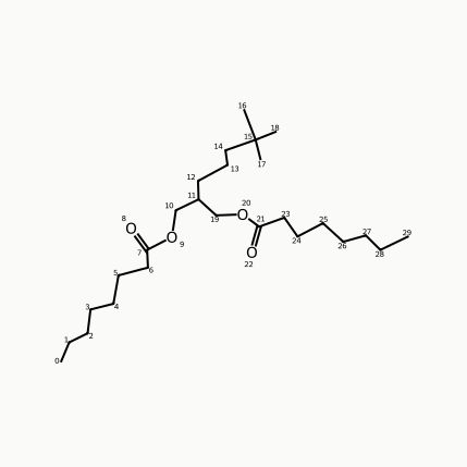 CCCCCCCC(=O)OCC(CCCC(C)(C)C)COC(=O)CCCCCCC